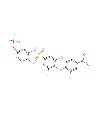 O=[N+]([O-])c1ccc(Oc2c(Cl)cc(S(=O)(=O)Nc3cc(OC(F)(F)F)ccc3Br)cc2Cl)c(Cl)c1